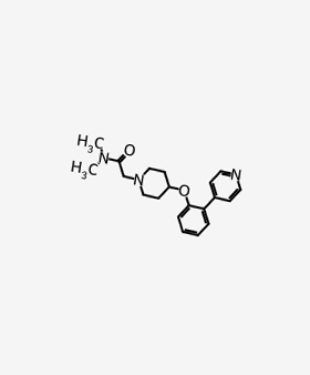 CN(C)C(=O)CN1CCC(Oc2ccccc2-c2ccncc2)CC1